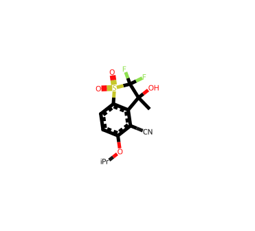 CC(C)Oc1ccc2c(c1C#N)C(C)(O)C(F)(F)S2(=O)=O